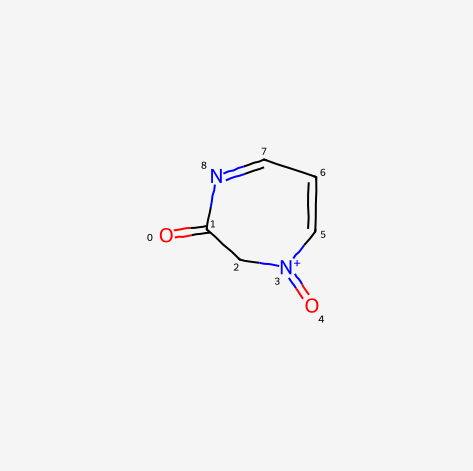 O=C1C[N+](=O)C=CC=N1